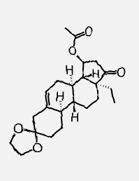 CC[C@]12CC[C@H]3[C@@H](CC=C4CC5(CC[C@@H]43)OCCO5)[C@@H]1[C@@H](OC(C)=O)CC2=O